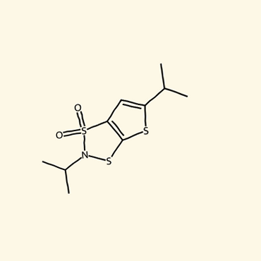 CC(C)c1cc2c(s1)SN(C(C)C)S2(=O)=O